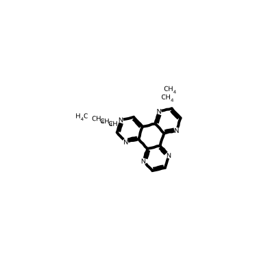 C.C.C.C.C.C.c1cnc2c(n1)c1cncnc1c1nccnc21